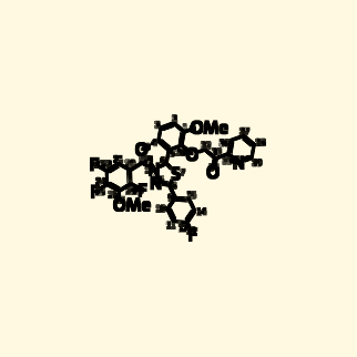 COc1cccc(C2SC(c3ccc(F)cc3)=NN2C(=O)c2cc(F)c(F)c(OC)c2F)c1OCC(=O)c1ccccn1